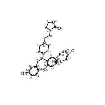 O=C(O)/C=C\C(=O)O.O=C1OCCN1CCN1CCN(C2Cc3cc(Cl)ccc3Sc3ccc(F)cc32)CC1